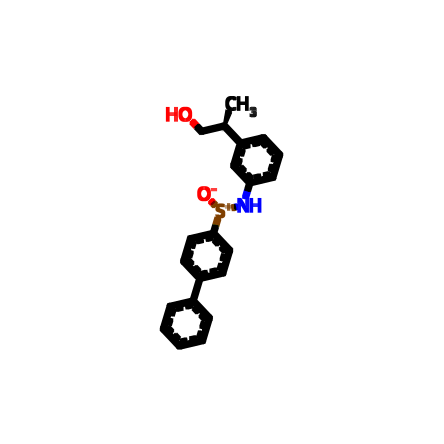 C[C@H](CO)c1cccc(N[S+]([O-])c2ccc(-c3ccccc3)cc2)c1